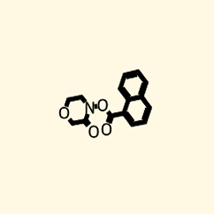 O=C(ON1CCOCC1=O)c1cccc2ccccc12